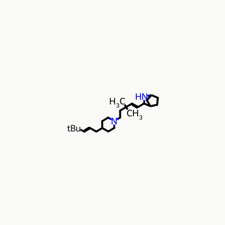 CC(C)(C)/C=C/CC1CCN(CCC(C)(C)/C=C/C2NC3CCC2C3)CC1